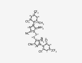 [C-]#[N+]c1nn(-c2c(Cl)cc(C(F)(F)F)cc2Cl)c(N)c1SSc1c(C#N)nn(-c2c(C)cc(C(F)(F)F)cc2Cl)c1N